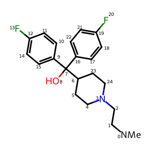 CNCCN1CCC(C(O)(c2ccc(F)cc2)c2ccc(F)cc2)CC1